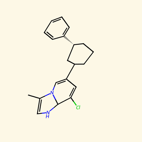 CC1=CNC2C(Cl)=CC(C3CCC[C@@H](c4ccccc4)C3)=CN12